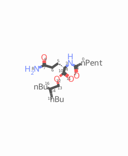 CCCCCC(=O)N[C@@H](CCC(N)=O)C(=O)OCC(CCCC)CCCC